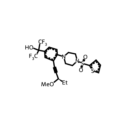 CC[C@H](C#Cc1cc(C(O)(C(F)(F)F)C(F)(F)F)ccc1N1CCN(S(=O)(=O)c2cccs2)CC1)OC